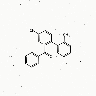 Cc1ccccc1-c1ccc(Cl)cc1C(=O)c1ccccc1